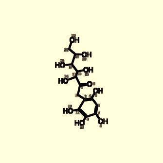 O=C(Cc1c(O)cc(O)c(O)c1O)C(O)C(O)C(O)C(O)CO